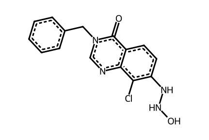 O=c1c2ccc(NNO)c(Cl)c2ncn1Cc1ccccc1